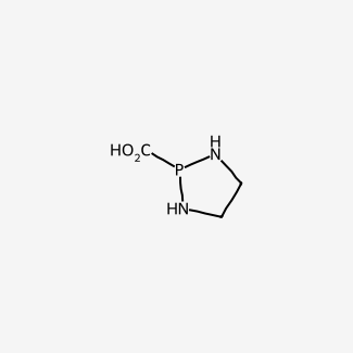 O=C(O)P1NCCN1